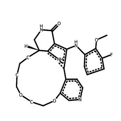 COc1c(F)cccc1Nc1c2[nH]c3c1C(=O)NC[C@H]3CCCCOCCOc1cnccc1-2